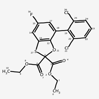 CCOC(=O)C1(C(=O)OCC)Oc2c(cc(F)cc2-c2c(Cl)cccc2Cl)S1